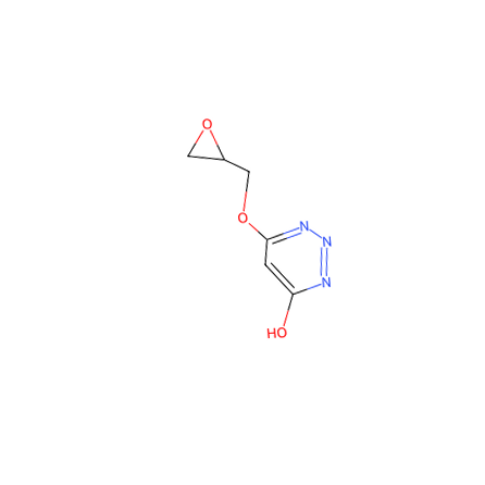 Oc1cc(OCC2CO2)nnn1